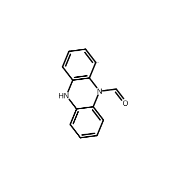 O=CN1c2[c]cccc2Nc2ccccc21